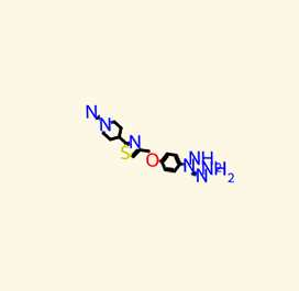 N#CN1CCC(c2nc(COc3ccc(N(N)/C=N\N)cc3)cs2)CC1